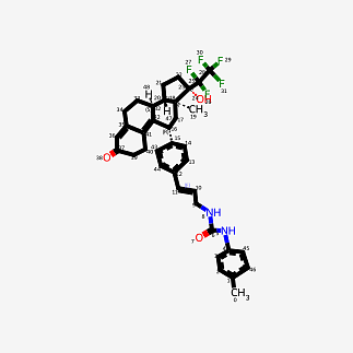 Cc1ccc(NC(=O)NC/C=C/c2ccc([C@H]3C[C@@]4(C)[C@@H](CC[C@@]4(O)C(F)(F)C(F)(F)F)[C@@H]4CCC5=CC(=O)CCC5=C43)cc2)cc1